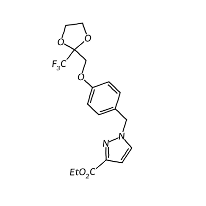 CCOC(=O)c1ccn(Cc2ccc(OCC3(C(F)(F)F)OCCO3)cc2)n1